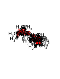 C=CCC[C@@H]1O[C@@H]([C@H](/C=C/C(=O)CC[C@H]2CC(=C)C(CC[C@H]3C[C@@H](C)C(=C)C(C[C@@H]4OC5C[C@@H](C)[C@@H](CCC)O[C@H]5[C@H](C)[C@H]4OC(=O)C=C)O3)O2)O[Si](C)(C)C(C)(C)C)[C@@H](O[Si](C)(C)C(C)(C)C)[C@@H](O[Si](C)(C)C(C)(C)C)[C@H]1O[Si](C)(C)C(C)(C)C